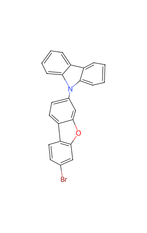 Brc1ccc2c(c1)oc1cc(-n3c4ccccc4c4ccccc43)ccc12